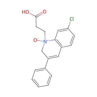 O=C(O)CC[N+]1([O-])CC(c2ccccc2)=Cc2ccc(Cl)cc21